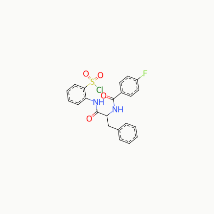 O=C(NC(Cc1ccccc1)C(=O)Nc1ccccc1S(=O)(=O)Cl)c1ccc(F)cc1